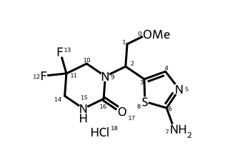 COCC(c1cnc(N)s1)N1CC(F)(F)CNC1=O.Cl